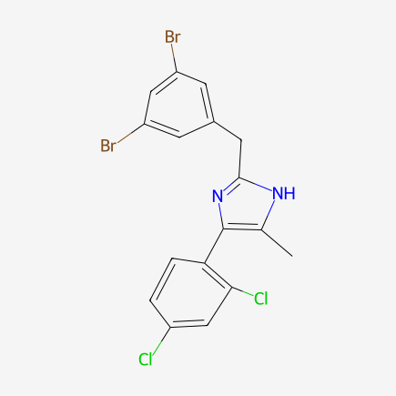 Cc1[nH]c(Cc2cc(Br)cc(Br)c2)nc1-c1ccc(Cl)cc1Cl